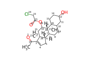 CC(=O)C1=CC[C@H]2[C@@H]3CCC4CC(O)CC[C@]4(C)[C@H]3C(OC(=O)CCl)C[C@]12C